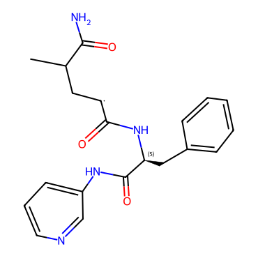 CC(C[CH]C(=O)N[C@@H](Cc1ccccc1)C(=O)Nc1cccnc1)C(N)=O